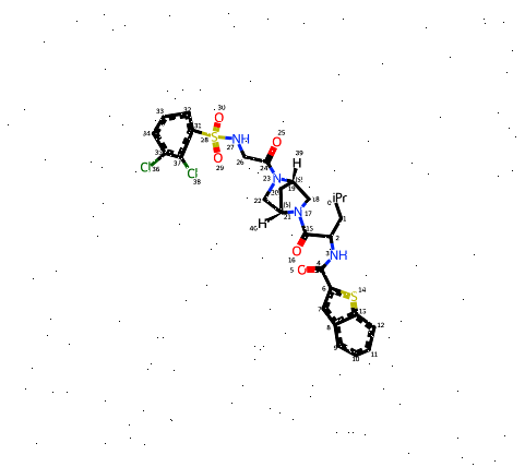 CC(C)CC(NC(=O)c1cc2ccccc2s1)C(=O)N1C[C@@H]2C[C@H]1CN2C(=O)CNS(=O)(=O)c1cccc(Cl)c1Cl